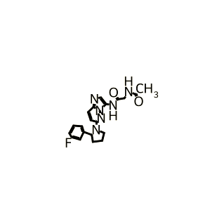 CC(=O)NCC(=O)Nc1cnc2ccc(N3CCCC3c3cccc(F)c3)nn12